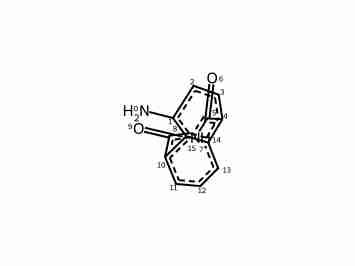 Nc1ccc2c(=O)[nH]c(=O)c3cccc2c13